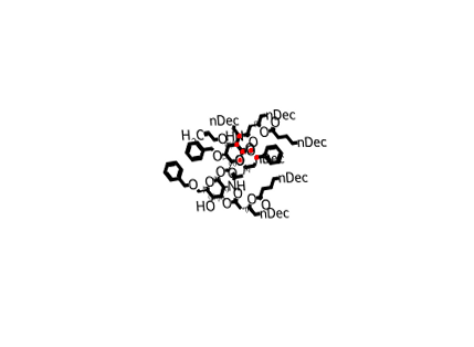 C=CCO[C@@H]1[C@@H](NC(=O)C[C@@H](CCCCCCCCCCC)OC(=O)CCCCCCCCCCCCC)[C@H](OCc2ccccc2)O[C@H](CO[C@@H]2O[C@H](COCc3ccccc3)[C@@H](O)[C@H](OC(=O)C[C@@H](CCCCCCCCCCC)OC(=O)CCCCCCCCCCCCC)[C@H]2NC(=O)C[C@@H](CCCCCCCCCCC)OC(=O)CCCCCCCCCCCCC)[C@H]1OCc1ccccc1